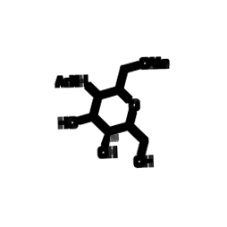 COCC1OC(CO)[C@@H](O)C(O)C1NC(C)=O